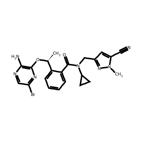 C[C@@H](Oc1nc(Br)cnc1N)c1ccccc1C(=O)N(Cc1cc(C#N)n(C)n1)C1CC1